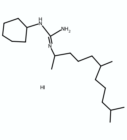 CC(C)CCCC(C)CCCC(C)N=C(N)NC1CCCCC1.I